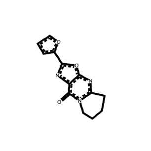 O=c1c2nc(-c3ccco3)oc2nc2n1CCCC2